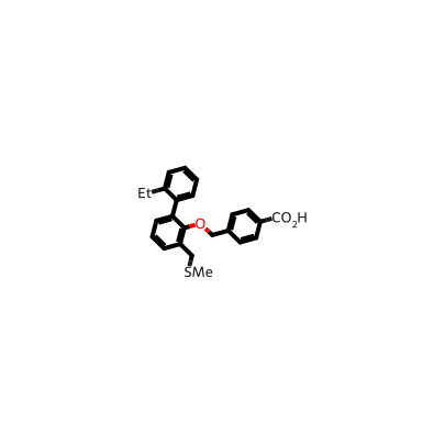 CCc1ccccc1-c1cccc(CSC)c1OCc1ccc(C(=O)O)cc1